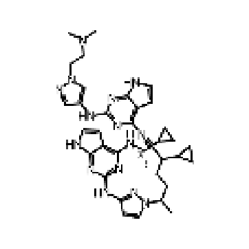 CC(CCC(C#[N+]c1nc(Nc2cnn(CCN(C)C)c2)nc2[nH]ccc12)C1CC1)n1ccc(Nc2nc(N[C@@H](C)C3CC3)c3cc[nH]c3n2)n1